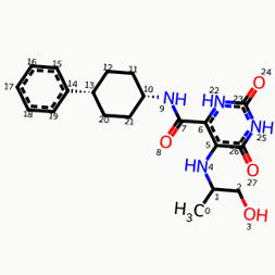 CC(CO)Nc1c(C(=O)N[C@H]2CC[C@@H](c3ccccc3)CC2)[nH]c(=O)[nH]c1=O